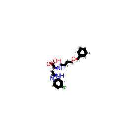 O=C(O)[C@@H](Cc1nc2ccc(F)cc2[nH]1)NCCCCOCc1ccccc1